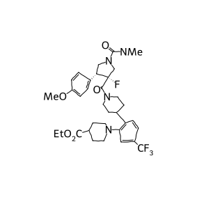 CCOC(=O)C1CCN(c2cc(C(F)(F)F)ccc2C2CCN(C(=O)[C@]3(F)CN(C(=O)NC)C[C@H]3c3ccc(OC)cc3)CC2)CC1